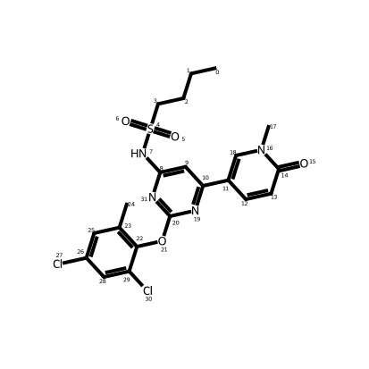 CCCCS(=O)(=O)Nc1cc(-c2ccc(=O)n(C)c2)nc(Oc2c(C)cc(Cl)cc2Cl)n1